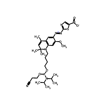 COc1cc2c(cc1/N=N/c1ncc([N+](=O)[O-])s1)C(C)=CC(C)(C)N2CCCCOP(OCCC#N)N(C(C)C)C(C)C